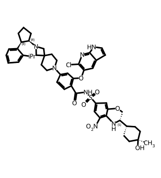 CC(C)c1ccccc1[C@H]1CCC[C@H]1N1CC2(CCN(c3ccc(C(=O)NS(=O)(=O)c4cc5c(c([N+](=O)[O-])c4)N[C@@H]([C@H]4CC[C@](C)(O)CC4)CO5)c(Oc4cc5cc[nH]c5nc4Cl)c3)CC2)C1